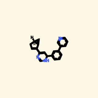 C1=NC(C2=CC[C@@H]3C=C23)=CC(c2cccc(-c3cccnc3)c2)N1